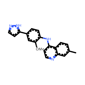 COc1cc(-c2ccn[nH]2)ccc1Nc1ccnc2cc(C)ccc12